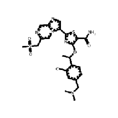 CC(Oc1nc(-c2cnc3cnc(CS(C)(=O)=O)cn23)sc1C(N)=O)c1ccc(CN(C)C)cc1Cl